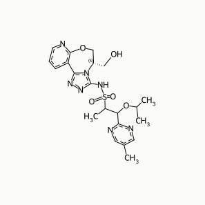 Cc1cnc(C(OC(C)C)C(C)S(=O)(=O)Nc2nnc3n2[C@@H](CO)COc2ncccc2-3)nc1